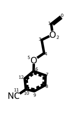 C=COCCOc1cccc(C#N)c1